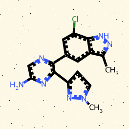 Cc1n[nH]c2c(Cl)cc(-c3ncc(N)nc3-c3ccn(C)n3)cc12